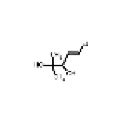 [CH2]C/C=C/C(O)C(C)(C)O